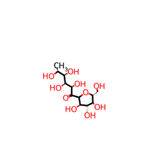 C[C@@H](O)[C@@H](O)[C@H](O)[C@@H](O)C(=O)[C]1O[C@H](CO)[C@@H](O)[C@H](O)[C@H]1O